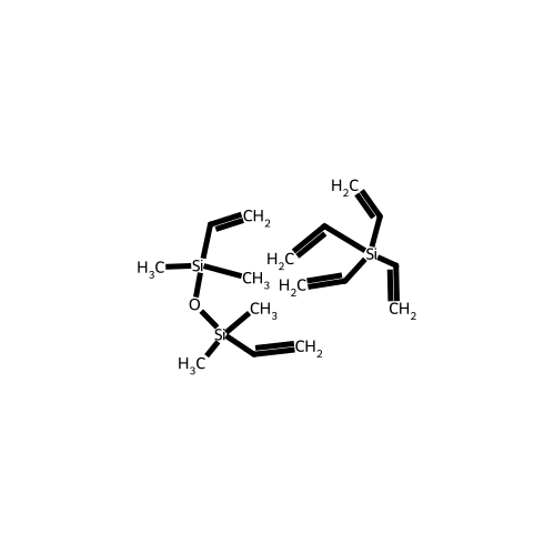 C=C[Si](C)(C)O[Si](C)(C)C=C.C=C[Si](C=C)(C=C)C=C